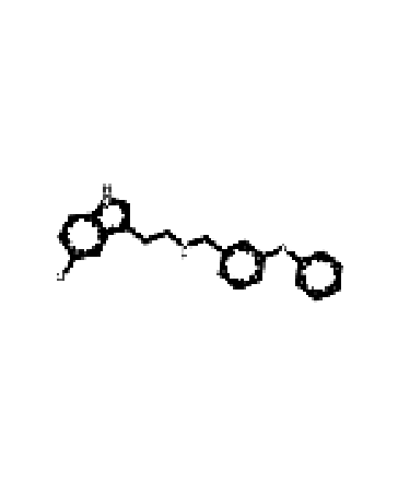 Clc1ccc2[nH]cc(CCNCc3cccc(Oc4ccccc4)c3)c2c1